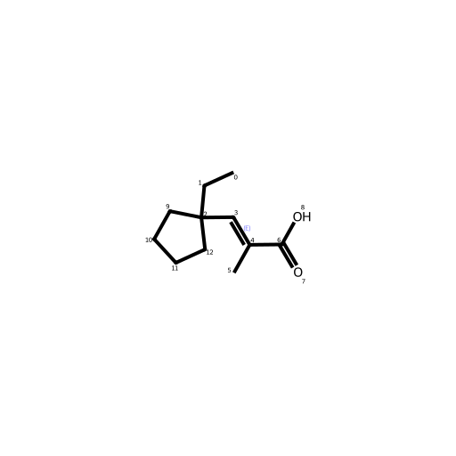 CCC1(/C=C(\C)C(=O)O)CCCC1